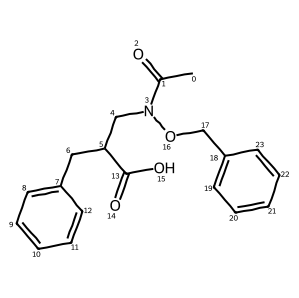 CC(=O)N(CC(Cc1ccccc1)C(=O)O)OCc1ccccc1